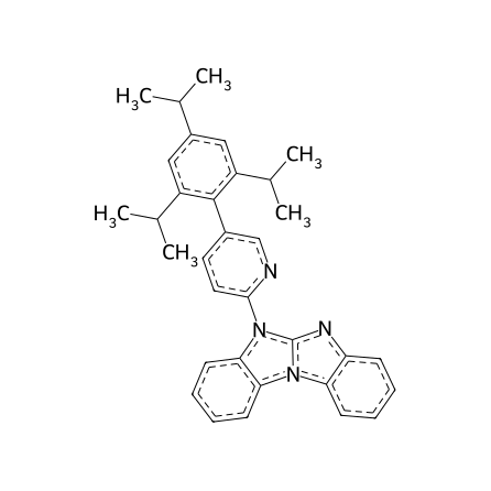 CC(C)c1cc(C(C)C)c(-c2ccc(-n3c4ccccc4n4c5ccccc5nc34)nc2)c(C(C)C)c1